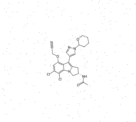 CC(=O)N[C@H]1Cc2c(-c3cnn(C4CCCCO4)c3)c3c(OCC#N)cc(Cl)c(Cl)c3n2C1